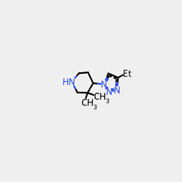 CCc1cn(C2CCNCC2(C)C)nn1